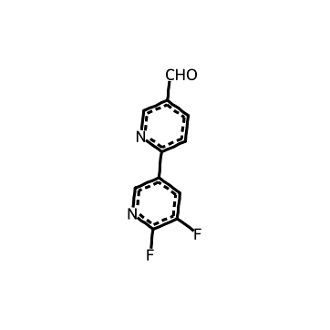 O=Cc1ccc(-c2cnc(F)c(F)c2)nc1